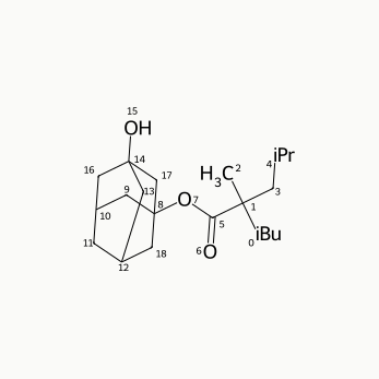 CCC(C)C(C)(CC(C)C)C(=O)OC12CC3CC(CC(O)(C3)C1)C2